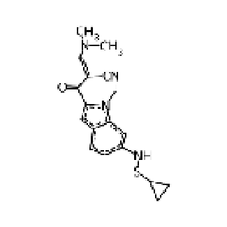 CN(C)/C=C(\C#N)C(=O)c1cc2ccc(NSC3CC3)cc2n1I